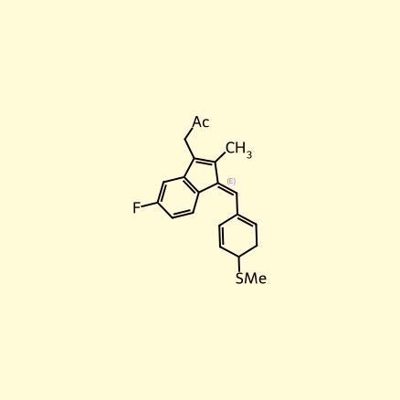 CSC1C=CC(/C=C2/C(C)=C(CC(C)=O)c3cc(F)ccc32)=CC1